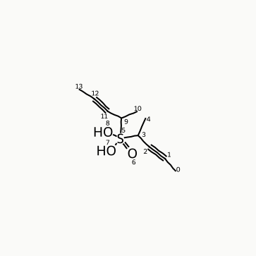 CC#CC(C)S(=O)(O)(O)C(C)C#CC